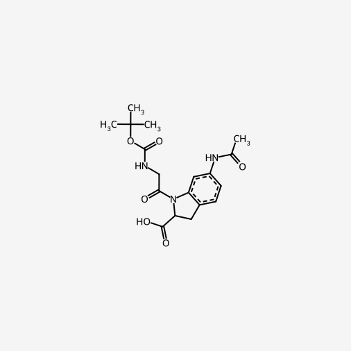 CC(=O)Nc1ccc2c(c1)N(C(=O)CNC(=O)OC(C)(C)C)C(C(=O)O)C2